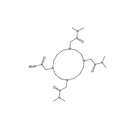 CNC(=O)CN1CCCN(CC(=O)N(C)C)CCN(CC(=O)N(C)C)CCCN(CC(=O)N(C)C)CC1